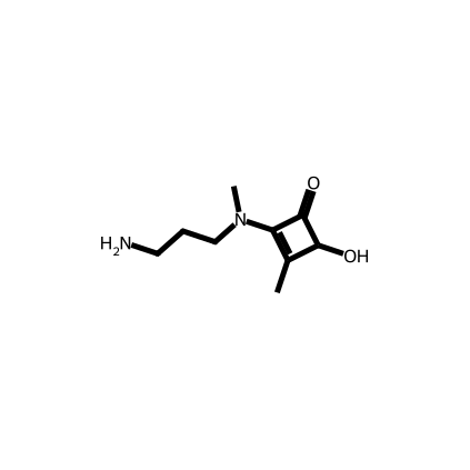 CC1=C(N(C)CCCN)C(=O)C1O